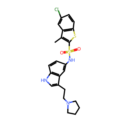 Cc1c(S(=O)(=O)Nc2ccc3[nH]cc(CCN4CCCC4)c3c2)sc2ccc(Cl)cc12